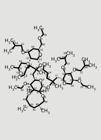 CC/C=C\C(C)(C[C@H]1O[C@H](OC(C)(CCCC)C[C@H]2OC[C@H](OCC)[C@@H](OCC(C)C)[C@@H]2OCC(C)C)[C@@H]2OC[C@H](C)C[C@H](C)CO[C@H]2[C@@H]1OCC)O[C@H]1O[C@H](COCC)C[C@H](OCC(C)C)[C@H]1OCC(C)C